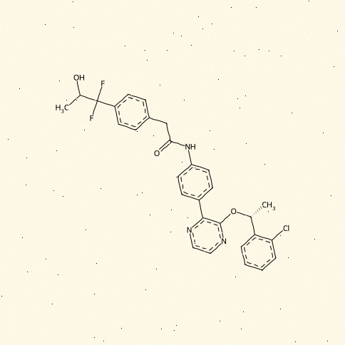 CC(O)C(F)(F)c1ccc(CC(=O)Nc2ccc(-c3nccnc3O[C@H](C)c3ccccc3Cl)cc2)cc1